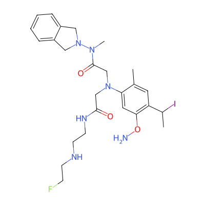 Cc1cc(C(C)I)c(ON)cc1N(CC(=O)NCCNCCF)CC(=O)N(C)N1Cc2ccccc2C1